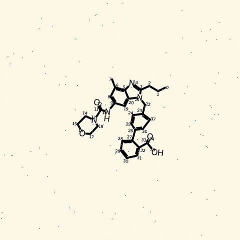 CCCc1nc2c(C)cc(NC(=O)N3CCOCC3)cc2n1Cc1ccc(-c2ccccc2C(=O)O)cc1